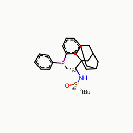 CC(C)(C)[S@+]([O-])N[C@H](CP(c1ccccc1)c1ccccc1)C12CC3CC(CC(C3)C1)C2